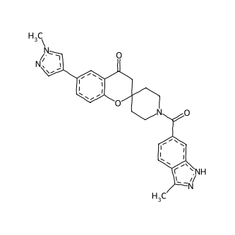 Cc1n[nH]c2cc(C(=O)N3CCC4(CC3)CC(=O)c3cc(-c5cnn(C)c5)ccc3O4)ccc12